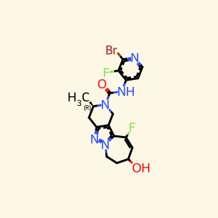 C[C@@H]1Cc2nn3c(c2CN1C(=O)Nc1ccnc(Br)c1F)C(F)=CC(O)CC3